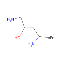 CCCC(N)CC(O)CN